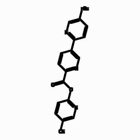 CCCCc1ccc(-c2ccc(C(=O)Oc3ccc(C#N)cn3)nc2)nc1